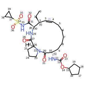 CC[C@H]1/C=C\CCCCC[C@H](NC(=O)OC2CCCC2)C(=O)N2CCC[C@H]2C(=O)N[C@H]1C(=O)NS(=O)(=O)C1CC1